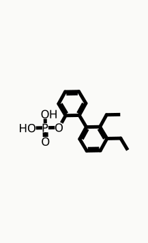 CCc1cccc(-c2ccccc2OP(=O)(O)O)c1CC